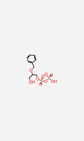 O=S(=O)(O)OS(=O)(=O)OCC(CO)OCc1ccccc1